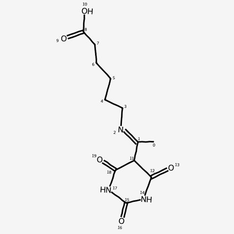 CC(=NCCCCCC(=O)O)C1C(=O)NC(=O)NC1=O